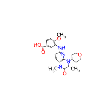 COc1ccc(C(=O)O)cc1Nc1ccc2c(n1)N(C1CCOCC1)[C@H](C)C(=O)N2C